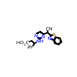 CC(C)C(CC(=O)O)Nc1nccc(C(C#N)c2nc3ccccc3s2)n1